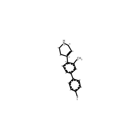 Cc1cc(-c2ccc(F)cc2)ccc1C1=CCNCC1